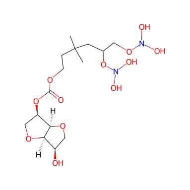 CC(C)(CCOC(=O)O[C@@H]1CO[C@H]2[C@@H]1OC[C@H]2O)CC(CON(O)O)ON(O)O